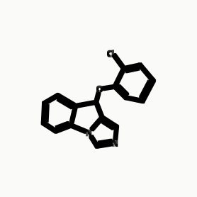 Clc1ccccc1OC1c2ccccc2-n2cncc21